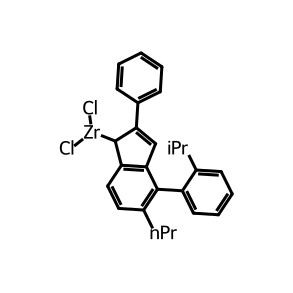 CCCc1ccc2c(c1-c1ccccc1C(C)C)C=C(c1ccccc1)[CH]2[Zr]([Cl])[Cl]